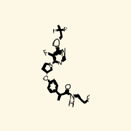 CC(C(=O)NCCF)c1ccc(O[C@@H]2CCN(c3ncnc(OCC(C)(F)F)c3F)C2)cc1